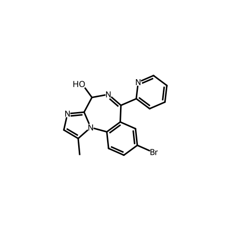 Cc1cnc2n1-c1ccc(Br)cc1C(c1ccccn1)=NC2O